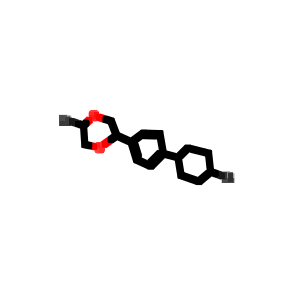 CCC1CCC(c2ccc(C3COC(CC)CO3)cc2)CC1